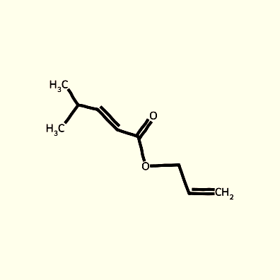 C=CCOC(=O)/C=C/C(C)C